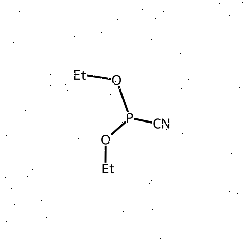 CCOP(C#N)OCC